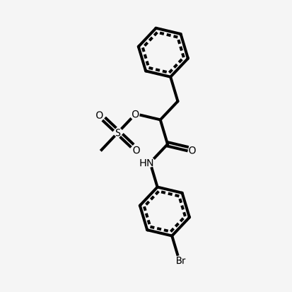 CS(=O)(=O)OC(Cc1ccccc1)C(=O)Nc1ccc(Br)cc1